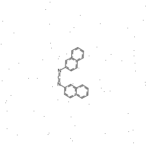 C(=Nc1ccc2ccccc2c1)=Nc1ccc2ccccc2c1